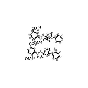 COc1ccc(C(=O)O)cc1OCC1(C)CC(c2ccccc2F)=NO1.COc1ccc(C(=O)O)cc1OCC1(C)CC(c2ccncc2)=NO1